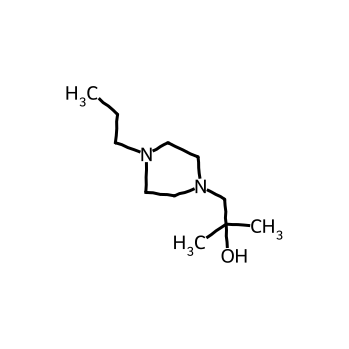 CCCN1CCN(CC(C)(C)O)CC1